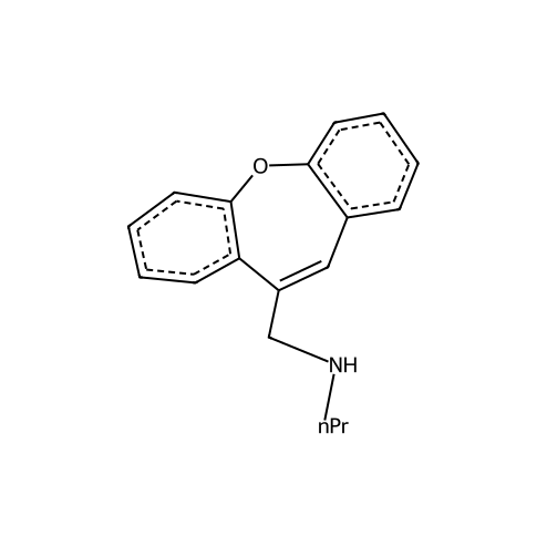 CCCNCC1=Cc2ccccc2Oc2ccccc21